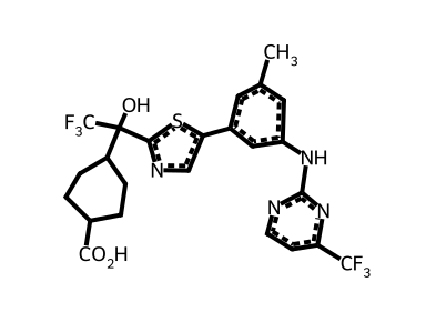 Cc1cc(Nc2nccc(C(F)(F)F)n2)cc(-c2cnc(C(O)(C3CCC(C(=O)O)CC3)C(F)(F)F)s2)c1